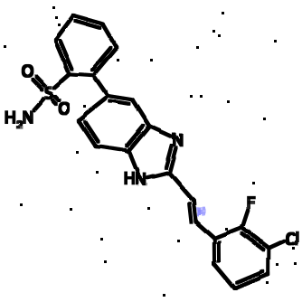 NS(=O)(=O)c1ccccc1-c1ccc2[nH]c(/C=C/c3cccc(Cl)c3F)nc2c1